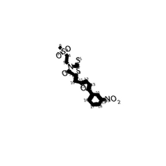 CS(=O)(=O)CCN1C(=O)C(=Cc2ccc(-c3cccc([N+](=O)[O-])c3)o2)SC1=S